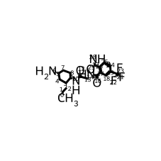 CCC[C@@H]1C[C@H](N)CC[C@@H]1NC(=O)CNC(=O)c1cc(C(F)(F)F)ccc1C(N)=O